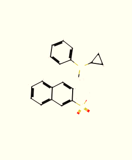 CCC[S+](c1ccccc1)C1CC1.O=S(=O)([O-])c1ccc2ccccc2c1